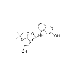 CC(C)(C)OC(=O)N(CCO)CC(=O)Nc1cccc2ccc(O)cc12